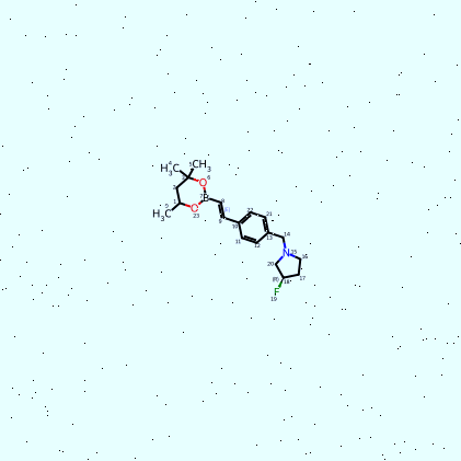 CC1CC(C)(C)OB(/C=C/c2ccc(CN3CC[C@@H](F)C3)cc2)O1